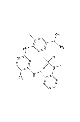 Cc1cc(C(N)O)ccc1Nc1ncc(C(F)(F)F)c(NCc2nccnc2N(C)S(C)(=O)=O)n1